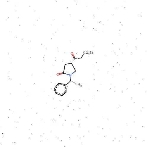 CCOC(=O)CC(=O)[C@H]1CC(=O)N([C@H](C)c2ccccc2)C1